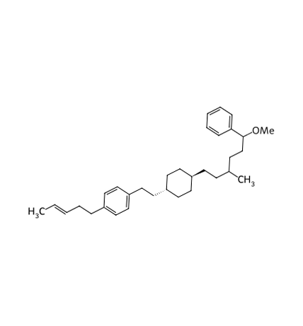 CC=CCCc1ccc(CC[C@H]2CC[C@H](CCC(C)CCC(OC)c3ccccc3)CC2)cc1